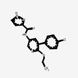 O=C(Nc1cnc(OCC(F)(F)F)c(-c2ccc(Cl)cc2)c1)c1cc[nH]n1